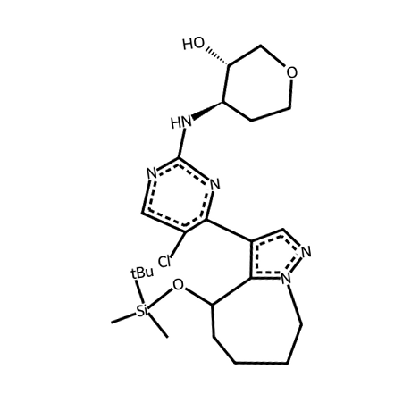 CC(C)(C)[Si](C)(C)OC1CCCCn2ncc(-c3nc(N[C@@H]4CCOC[C@H]4O)ncc3Cl)c21